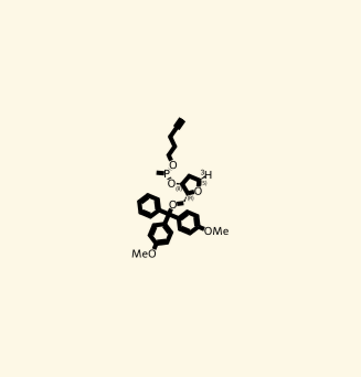 [3H][C@H]1C[C@@H](OP(C)OCCCC#C)[C@@H](COC(c2ccccc2)(c2ccc(OC)cc2)c2ccc(OC)cc2)O1